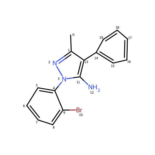 Cc1nn(-c2ccccc2Br)c(N)c1-c1ccccc1